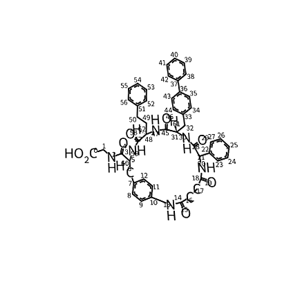 O=C(O)CNC(=O)[C@@H]1Cc2ccc(cc2)NC(=O)CCC(=O)NC(c2ccccc2)C(=O)N[C@@H](Cc2ccc(-c3ccccc3)cc2)C(=O)N[C@H](CCc2ccccc2)C(=O)N1